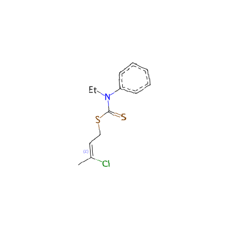 CCN(C(=S)SC/C=C(/C)Cl)c1ccccc1